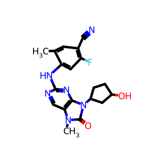 Cc1cc(C#N)c(F)cc1Nc1ncc2c(n1)n(C1CCC(O)C1)c(=O)n2C